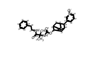 CC(C)(NC(=O)OC1C2CC3CC1CC(C2)C3c1ccc[n+]([O-])c1)C(=O)NCCc1ccccc1